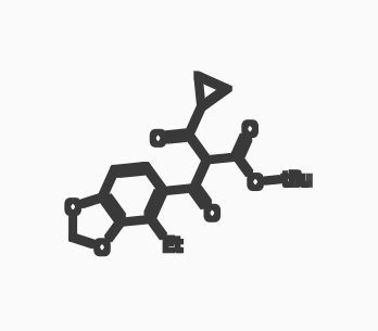 CCc1c(C(=O)C(C(=O)OC(C)(C)C)C(=O)C2CC2)ccc2c1OCO2